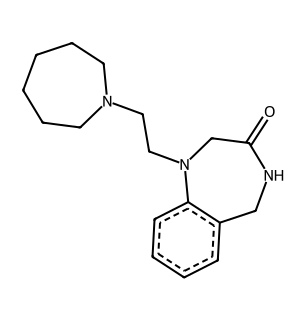 O=C1CN(CCN2CCCCCC2)c2ccccc2CN1